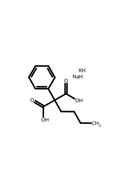 CCCCC(C(=O)O)(C(=O)O)c1ccccc1.[KH].[NaH]